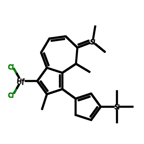 CC1=[C]([Hf]([Cl])[Cl])C2=CC=CC(=[Si](C)C)C(C)C2=C1C1=CC([Si](C)(C)C)=CC1